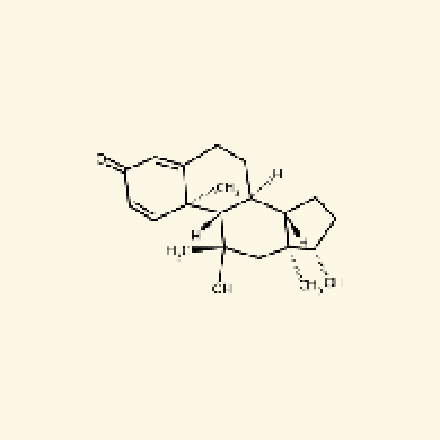 C[C@]12C[C@](C)(O)[C@H]3[C@@H](CCC4=CC(=O)C=C[C@@]43C)[C@@H]1CC[C@@H]2O